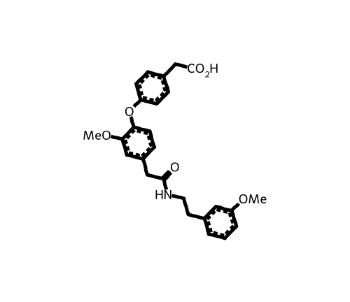 COc1cccc(CCNC(=O)Cc2ccc(Oc3ccc(CC(=O)O)cc3)c(OC)c2)c1